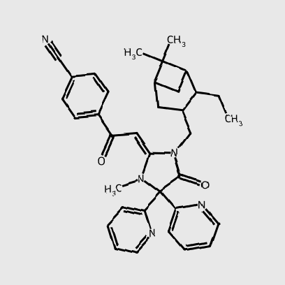 CCC1C(CN2C(=O)C(c3ccccn3)(c3ccccn3)N(C)C2=CC(=O)c2ccc(C#N)cc2)CC2CC1C2(C)C